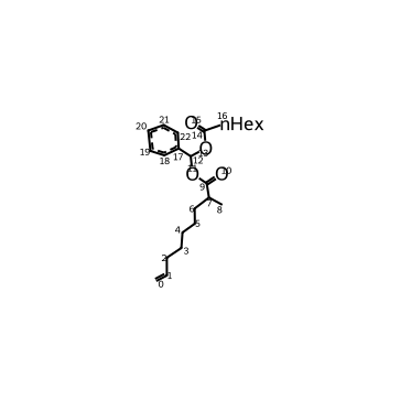 C=CCCCCCC(C)C(=O)OC(OC(=O)CCCCCC)c1ccccc1